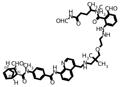 CC(CCC(=O)NC=O)N(C)C(=O)c1c(C=O)cccc1NNCCOCC(C)(C)CNCc1ccnc2c(NC(=O)c3ccc(N(C)C(=O)[C@@H]4[C@H](C=O)[C@@H]5C=C[C@H]4C5)cc3)cccc12